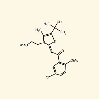 COCCn1c(C)c(C(C)(C)O)s/c1=N\C(=O)c1cc(Cl)ccc1OC